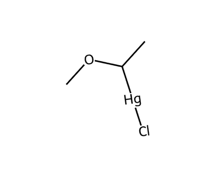 CO[CH](C)[Hg][Cl]